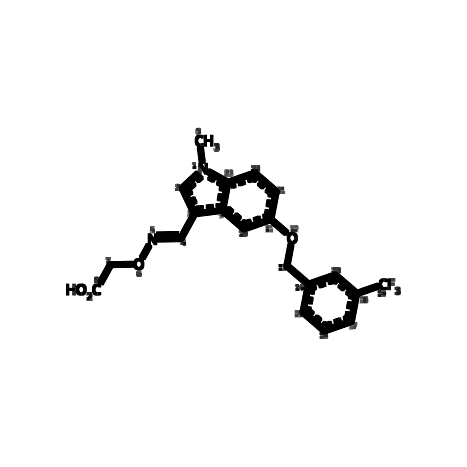 Cn1cc(/C=N/OCC(=O)O)c2cc(OCc3cccc(C(F)(F)F)c3)ccc21